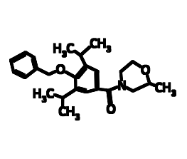 CC1CN(C(=O)c2cc(C(C)C)c(OCc3ccccc3)c(C(C)C)c2)CCO1